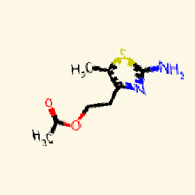 CC(=O)OCCc1nc(N)sc1C